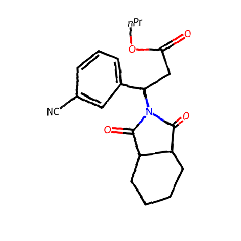 CCCOC(=O)CC(c1cccc(C#N)c1)N1C(=O)C2CCCCC2C1=O